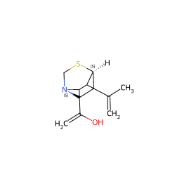 C=C(C)C1C(C(=C)O)[N@@]2CC[C@@H]1SC2